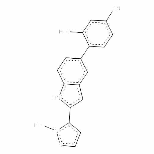 Cc1cc(C#N)ccc1-c1ccc2[nH]c(-c3ccnn3C)cc2c1